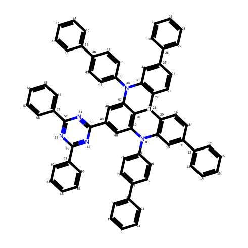 c1ccc(-c2ccc(N3c4cc(-c5ccccc5)ccc4B4c5ccc(-c6ccccc6)cc5N(c5ccc(-c6ccccc6)cc5)c5cc(-c6nc(-c7ccccc7)nc(-c7ccccc7)n6)cc3c54)cc2)cc1